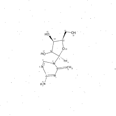 [2H][C@@]1(N2C=NC(N)=NC2=C)O[C@H](CO)[C@H](O)C1O